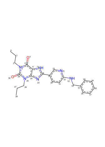 CCCn1c(=O)c2[nH]c(-c3ccc(NCc4ccccc4)nc3)nc2n(CCC)c1=O